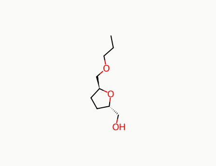 CCCOC[C@@H]1CC[C@@H](CO)O1